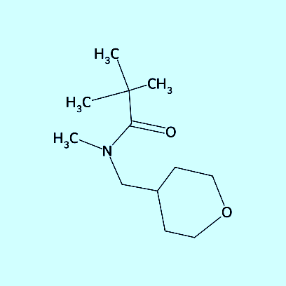 CN(CC1CCOCC1)C(=O)C(C)(C)C